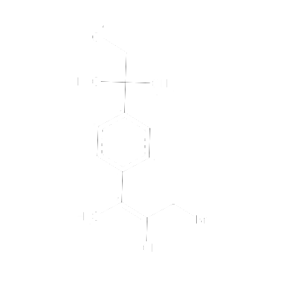 C/C(CBr)=C(\C)c1ccc(C(C)(C)CCl)cc1